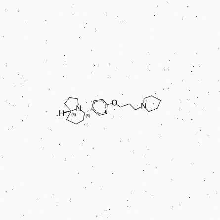 c1cc([C@@H]2CCC[C@@H]3CCCN32)ccc1OCCCN1CCCCC1